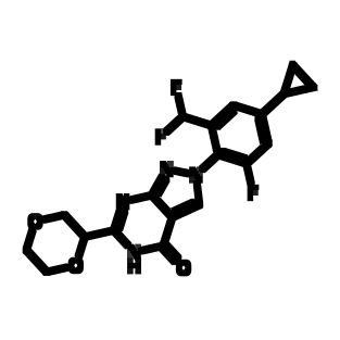 O=c1[nH]c(C2COCCO2)nc2nn(-c3c(F)cc(C4CC4)cc3C(F)F)cc12